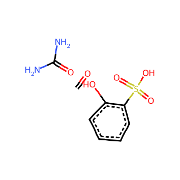 C=O.NC(N)=O.O=S(=O)(O)c1ccccc1O